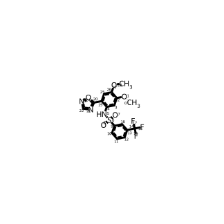 COc1cc(NS(=O)(=O)c2cccc(C(F)(F)F)c2)c(-c2ncno2)cc1OC